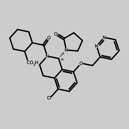 O=C(O)C1CCCCC1C(=O)N1CCc2c(Cl)ccc(OCc3cccnn3)c2[C@H]1N1CCCC1=O